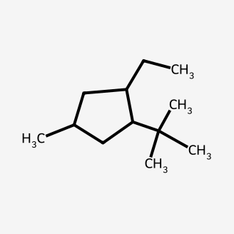 CCC1CC(C)CC1C(C)(C)C